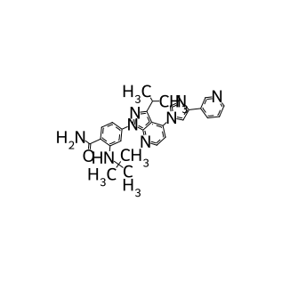 CC(C)c1nn(-c2ccc(C(N)=O)c(NC(C)(C)C)c2)c2nccc(-n3cnc(-c4cccnc4)c3)c12